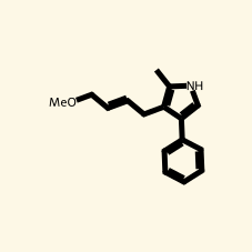 COCC=CCc1c(-c2ccccc2)c[nH]c1C